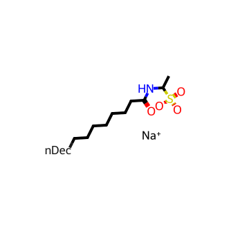 CCCCCCCCCCCCCCCCCC(=O)NC(C)S(=O)(=O)[O-].[Na+]